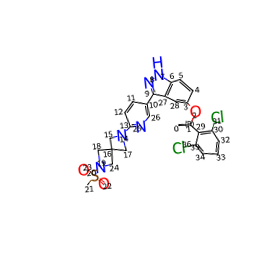 C[C@@H](Oc1ccc2[nH]nc(-c3ccc(N4CC5(C4)CN(S(C)(=O)=O)C5)nc3)c2c1)c1c(Cl)cccc1Cl